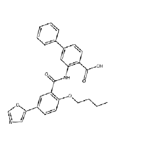 CCCCOc1ccc(-c2cnco2)cc1C(=O)Nc1cc(-c2ccccc2)ccc1C(=O)O